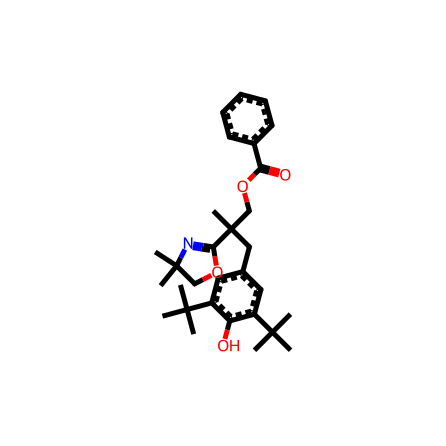 CC1(C)COC(C(C)(COC(=O)c2ccccc2)Cc2cc(C(C)(C)C)c(O)c(C(C)(C)C)c2)=N1